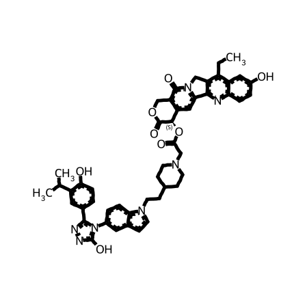 CCc1c2c(nc3ccc(O)cc13)-c1cc3c(c(=O)n1C2)COC(=O)[C@H]3OC(=O)CN1CCC(CCn2ccc3cc(-n4c(O)nnc4-c4ccc(O)c(C(C)C)c4)ccc32)CC1